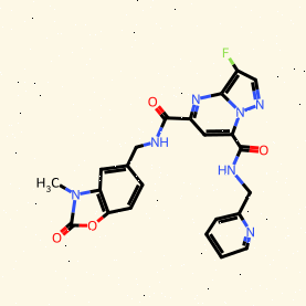 Cn1c(=O)oc2ccc(CNC(=O)c3cc(C(=O)NCc4ccccn4)n4ncc(F)c4n3)cc21